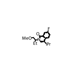 CCC(COC)n1cc(C(C)C)c2ccc(F)cc2c1=O